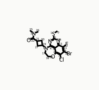 CSc1nc2c3c(c(Cl)c(Br)c(F)c3n1)OCCN2C1CC(C(=O)N(C)C)C1